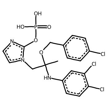 CC(Cn1ccnc1OP(=O)(O)O)(Nc1ccc(Cl)c(Cl)c1)OCc1ccc(Cl)cc1